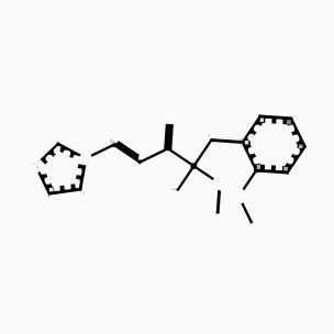 COc1ccccc1CC(C)(OC)C(=O)C=Cn1ccnc1